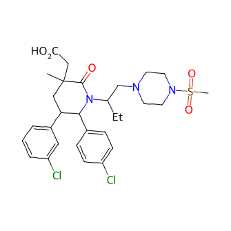 CCC(CN1CCN(S(C)(=O)=O)CC1)N1C(=O)C(C)(CC(=O)O)CC(c2cccc(Cl)c2)C1c1ccc(Cl)cc1